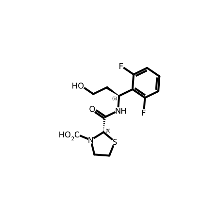 O=C(N[C@@H](CCO)c1c(F)cccc1F)[C@@H]1SCCN1C(=O)O